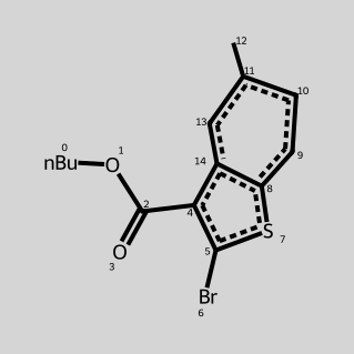 CCCCOC(=O)c1c(Br)sc2ccc(C)cc12